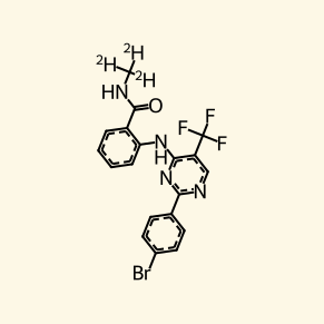 [2H]C([2H])([2H])NC(=O)c1ccccc1Nc1nc(-c2ccc(Br)cc2)ncc1C(F)(F)F